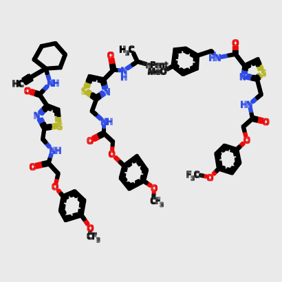 C#CC1(NC(=O)c2csc(CNC(=O)COc3ccc(OC(F)(F)F)cc3)n2)CCCCC1.CCCCCC(C)NC(=O)c1csc(CNC(=O)COc2ccc(OC(F)(F)F)cc2)n1.COc1ccc(CNC(=O)c2csc(CNC(=O)COc3ccc(OC(F)(F)F)cc3)n2)cc1